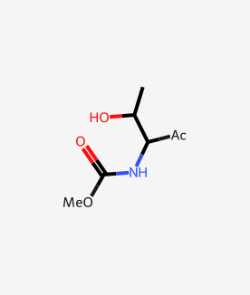 COC(=O)NC(C(C)=O)C(C)O